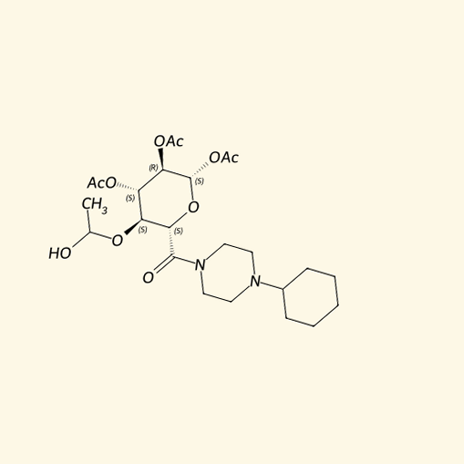 CC(=O)O[C@@H]1O[C@H](C(=O)N2CCN(C3CCCCC3)CC2)[C@@H](OC(C)O)[C@H](OC(C)=O)[C@H]1OC(C)=O